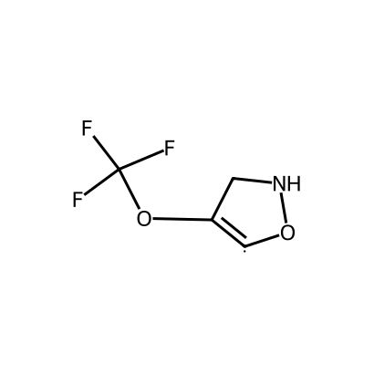 FC(F)(F)OC1=[C]ONC1